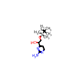 CC(C)(C)[Si](C)(C)OCC(O)c1ccnc(N)n1